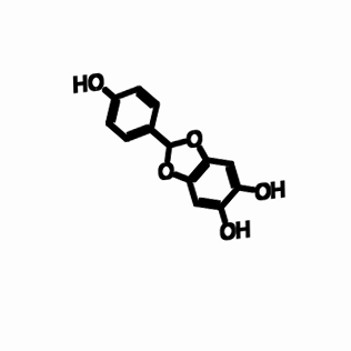 Oc1ccc(C2Oc3cc(O)c(O)cc3O2)cc1